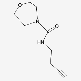 C#CCCNC(=O)N1CCOCC1